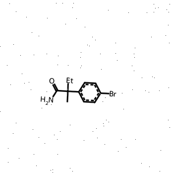 CCC(C)(C(N)=O)c1ccc(Br)cc1